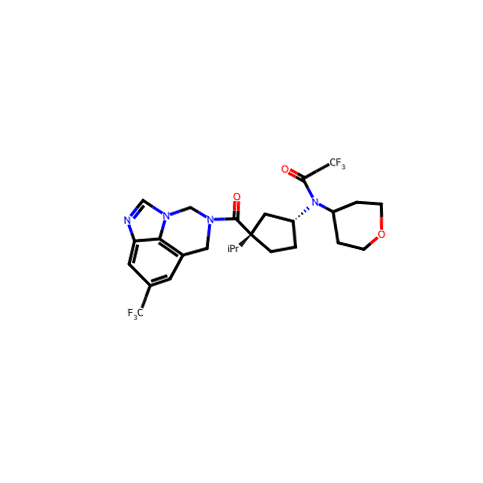 CC(C)[C@]1(C(=O)N2Cc3cc(C(F)(F)F)cc4ncn(c34)C2)CC[C@@H](N(C(=O)C(F)(F)F)C2CCOCC2)C1